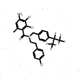 Cc1cc(N)c(Cl)c(Cl)c1C(=O)N(CCc1ccc(Cl)cc1)Cc1ccc(C(F)(C(F)(F)F)C(F)(F)F)cc1